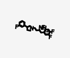 NC(CCN1CCC(c2cccc(F)c2)C1)Cc1cc(F)c(F)cc1F